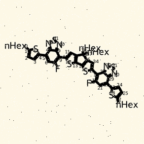 CCCCCCc1ccc(-c2cc(F)c(-c3cc4c(s3)-c3sc(-c5c(F)cc(-c6ccc(CCCCCC)s6)c6nsnc56)cc3C4(CCCCCC)CCCCCC)c3nsnc23)s1